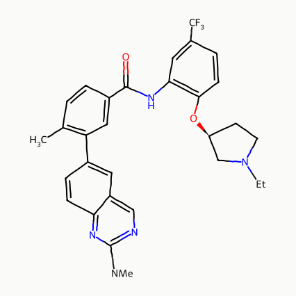 CCN1CC[C@H](Oc2ccc(C(F)(F)F)cc2NC(=O)c2ccc(C)c(-c3ccc4nc(NC)ncc4c3)c2)C1